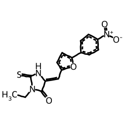 CCN1C(=O)C(=Cc2ccc(-c3ccc([N+](=O)[O-])cc3)o2)NC1=S